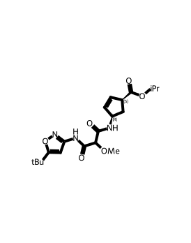 COC(C(=O)Nc1cc(C(C)(C)C)on1)C(=O)N[C@H]1C=C[C@@H](C(=O)OC(C)C)C1